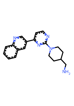 NCC1CCN(c2nccc(-c3cnc4ccccc4c3)n2)CC1